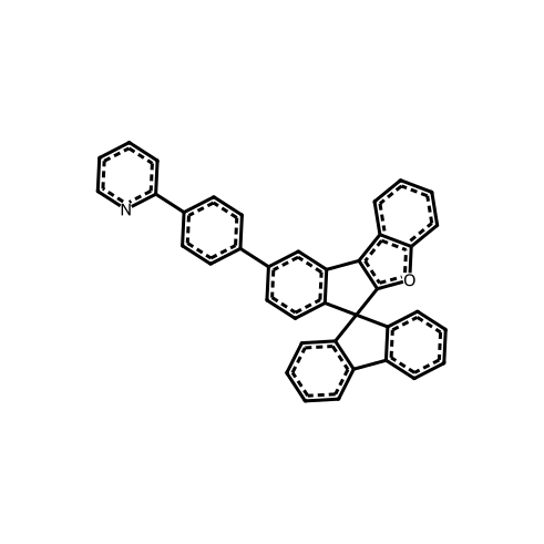 c1ccc(-c2ccc(-c3ccc4c(c3)-c3c(oc5ccccc35)C43c4ccccc4-c4ccccc43)cc2)nc1